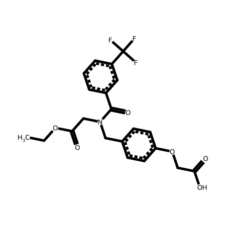 CCOC(=O)CN(Cc1ccc(OCC(=O)O)cc1)C(=O)c1cccc(C(F)(F)F)c1